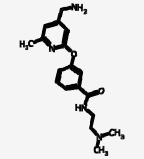 Cc1cc(CN)cc(Oc2cccc(C(=O)NCCN(C)C)c2)n1